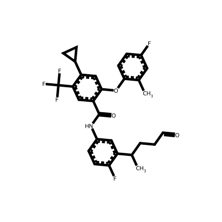 Cc1cc(F)ccc1Oc1cc(C2CC2)c(C(F)(F)F)cc1C(=O)Nc1ccc(F)c(C(C)CCC=O)c1